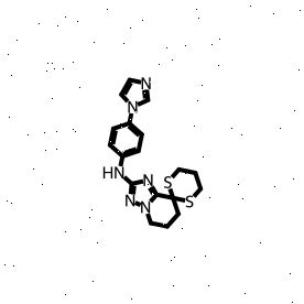 c1cn(-c2ccc(Nc3nc4n(n3)CCCC43SCCCS3)cc2)cn1